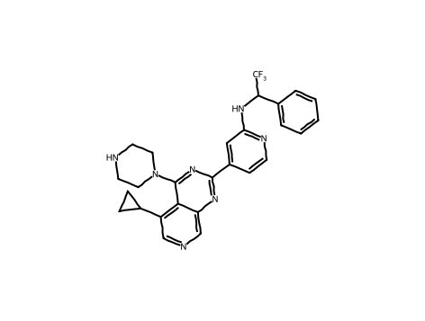 FC(F)(F)C(Nc1cc(-c2nc(N3CCNCC3)c3c(C4CC4)cncc3n2)ccn1)c1ccccc1